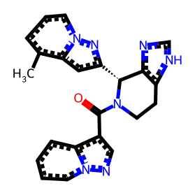 Cc1cccn2nc([C@@H]3c4nc[nH]c4CCN3C(=O)c3cnn4ccccc34)cc12